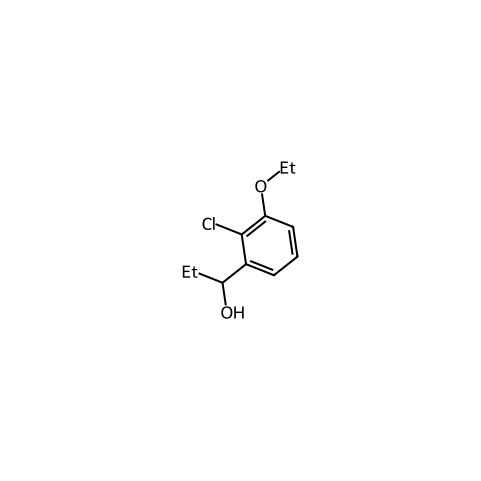 CCOc1cccc(C(O)CC)c1Cl